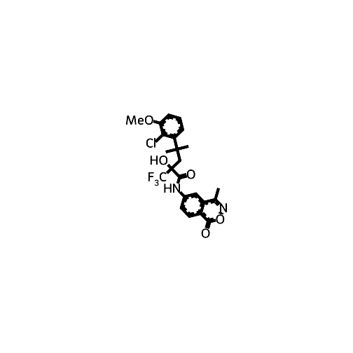 COc1cccc(C(C)(C)CC(O)(C(=O)Nc2ccc3c(=O)onc(C)c3c2)C(F)(F)F)c1Cl